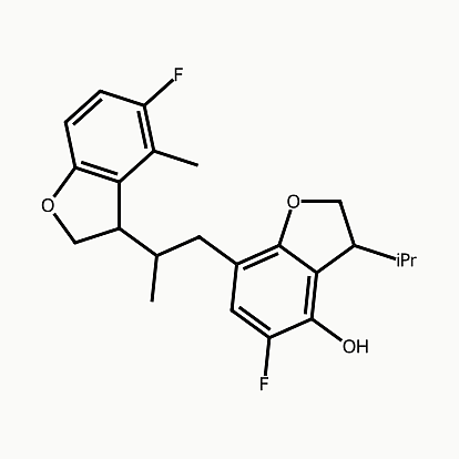 Cc1c(F)ccc2c1C(C(C)Cc1cc(F)c(O)c3c1OCC3C(C)C)CO2